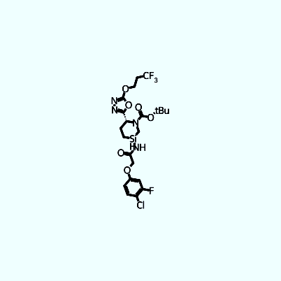 CC(C)(C)OC(=O)N1C[Si@@H](NC(=O)COc2ccc(Cl)c(F)c2)CC[C@@H]1c1nnc(OCCC(F)(F)F)o1